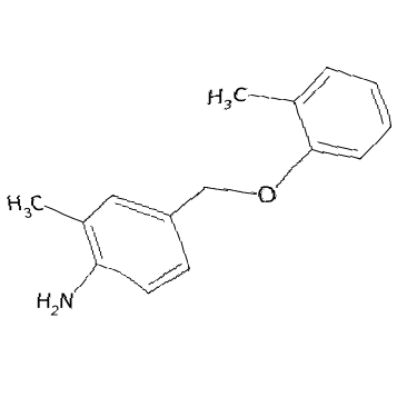 Cc1cc(COc2ccccc2C)ccc1N